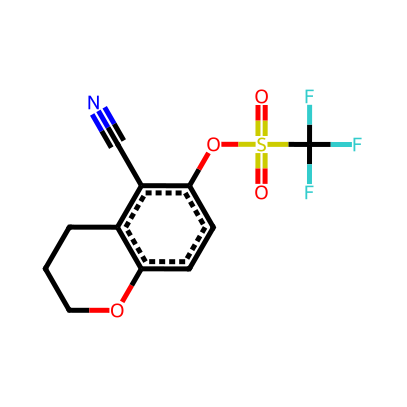 N#Cc1c(OS(=O)(=O)C(F)(F)F)ccc2c1CCCO2